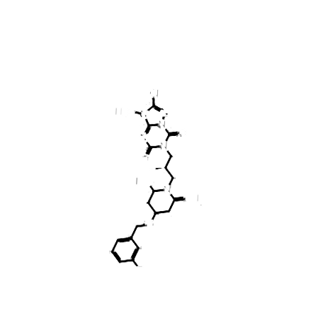 C=C1CC(OCc2cccc(F)c2)CC(C)N1C[C@@H](F)Cn1c(=O)nc2n(C)c(C)nn2c1=O